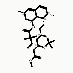 CCC(C)(C)C(=O)O[C@H]1C[C@@H](C)C=C2C=C[C@H](C)[C@H](CC[C@@H]3C[C@H](CC(=O)OC)OC(C)(C)O3)C21